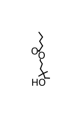 CCCCC(=O)OCCCC(C)(C)C(C)O